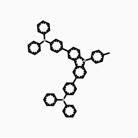 Cc1ccc(-n2c3ccc(-c4ccc(N(c5ccccc5)c5ccccc5)cc4)cc3c3cc(-c4ccc(N(c5ccccc5)c5ccccc5)cc4)ccc32)cc1